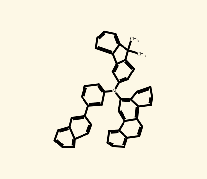 CC1(C)c2ccccc2-c2cc(N(c3cccc(-c4ccc5ccccc5c4)c3)c3cc4c5ccccc5ccc4c4ccccc34)ccc21